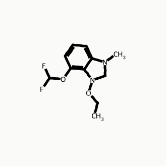 CCON1CN(C)c2cccc(OC(F)F)c21